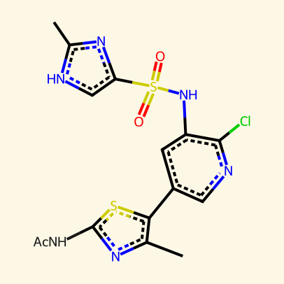 CC(=O)Nc1nc(C)c(-c2cnc(Cl)c(NS(=O)(=O)c3c[nH]c(C)n3)c2)s1